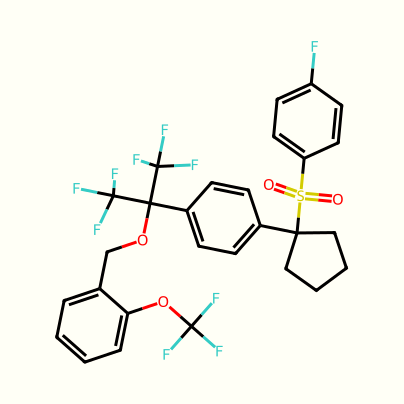 O=S(=O)(c1ccc(F)cc1)C1(c2ccc(C(OCc3ccccc3OC(F)(F)F)(C(F)(F)F)C(F)(F)F)cc2)CCCC1